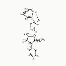 Cn1c(CN2CCC3(CCc4ccccc43)C2)c(Cl)c(=O)n1-c1ccccc1